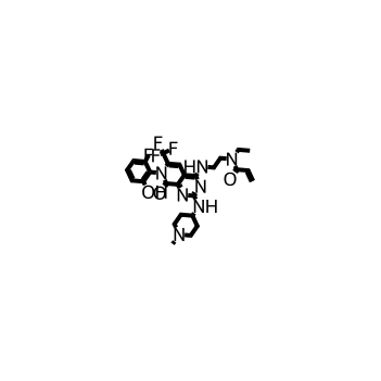 C=CC(=O)N(CC)CCNc1nc(NC2CCN(C)CC2)nc2c(=O)n(-c3c(O)cccc3F)c(C(F)(F)F)cc12